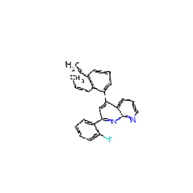 C=Cc1cccc(-c2cc(-c3ccccc3F)nc3ncccc23)c1/C=C\C